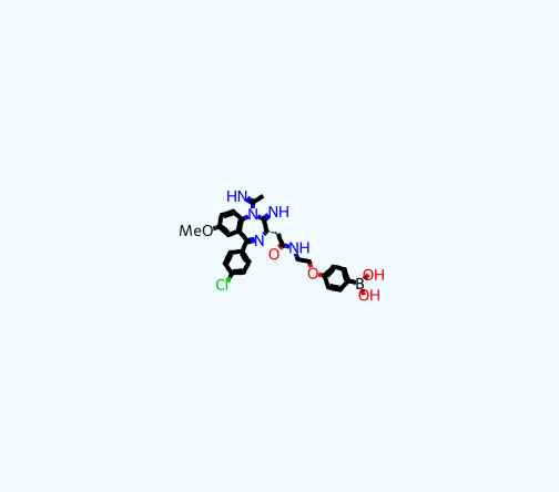 COc1ccc2c(c1)C(c1ccc(Cl)cc1)=N[C@@H](CC(=O)NCCOc1ccc(B(O)O)cc1)C(=N)N2C(C)=N